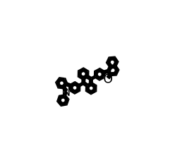 c1ccc(-n2c3ccccc3c3cc(-c4c5ccccc5c(-c5ccc6c(c5)oc5ccc7ccccc7c56)c5ccccc45)ccc32)cc1